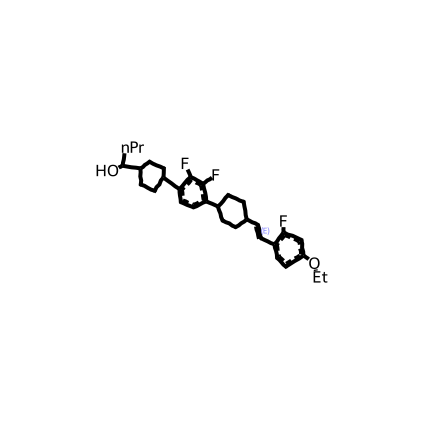 CCCC(O)C1CCC(c2ccc(C3CCC(/C=C/c4ccc(OCC)cc4F)CC3)c(F)c2F)CC1